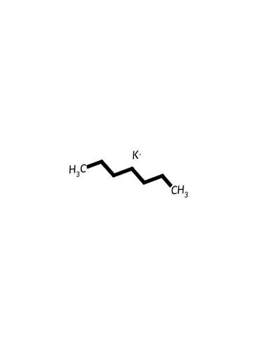 CCCCCCC.[K]